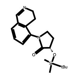 CC(C)(C)[Si](C)(C)O[C@H]1CCN(c2cccc3c2CCN=C3)C1=O